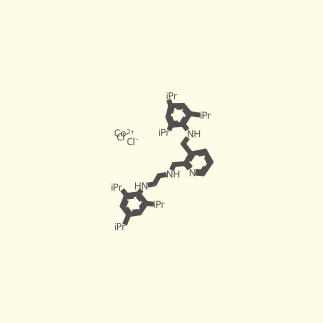 CC(C)c1cc(C(C)C)c(NCCNCc2ncccc2CNc2c(C(C)C)cc(C(C)C)cc2C(C)C)c(C(C)C)c1.[Cl-].[Cl-].[Co+2]